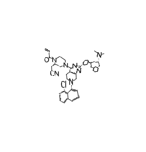 C=CC(=O)N1CCN(c2nc(O[C@@H]3COC[C@H]3N(C)C)nc3c2CCN(c2cccc4cccc(Cl)c24)C3)CC1CC#N